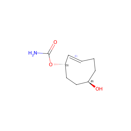 NC(=O)O[C@@H]1/C=C/CC[C@@H](O)CC1